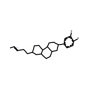 C/C=C/CCC1CCC2C(CCC3CC(c4ccc(F)c(F)c4)CCC32)C1